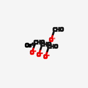 O=C[O-].O=C[O-].O=C[O-].O=C[O-].[Os+4]